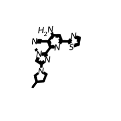 CC1CCN(c2cn(C)c(-c3nc(-c4nccs4)cc(N)c3C#N)n2)C1